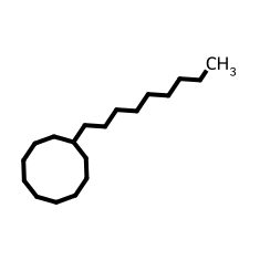 CCCCCCCCC[C]1CCCCCCCCC1